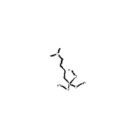 CCCO[Si](CCCCN(C)C)(OCCC)OCCC